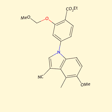 CCOC(=O)c1ccc(-n2cc(C#N)c3c(C)c(OC)ccc32)cc1OCOC